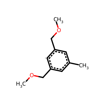 COCc1[c]c(COC)cc(C)c1